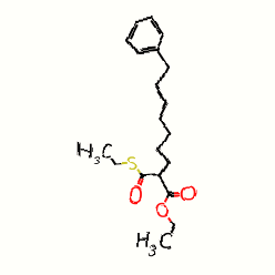 CCOC(=O)C(CCCCCCCc1ccccc1)C(=O)SCC